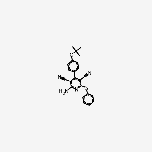 CC(C)(C)Oc1ccc(-c2c(C#N)c(N)nc(Sc3ccccc3)c2C#N)cc1